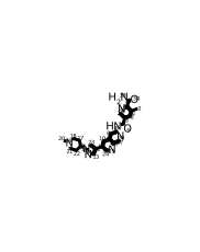 Cc1cc(C(=O)Nc2cc3cc(-c4cnn(C5CCN(C)CC5)c4)cnc3cn2)cnc1C(N)=O